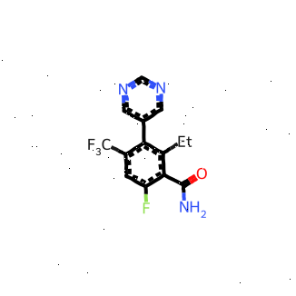 CCc1c(C(N)=O)c(F)cc(C(F)(F)F)c1-c1cncnc1